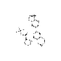 CC(C)(C)OC(=O)N1CCC[C@H]1c1cc(-c2cnc3[nH]ccc3c2)cc2c1COCC2